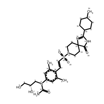 Cc1cc(N(C[C@H](O)CO)C(N)=O)cc(C)c1/C=C/S(=O)(=O)N1CCC2(CC1)N=C(C1CCC(C)CC1)NC2=O